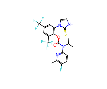 Cc1nc(N(C(=O)Oc2c(-n3cc[nH]c3=S)cc(C(F)(F)F)cc2C(F)(F)F)C(C)C)ccc1F